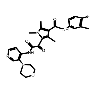 Cc1cc(NC(=O)c2c(C)c(C(=O)C(=O)Nc3ccncc3N3CCOCC3)n(C)c2C)ccc1F